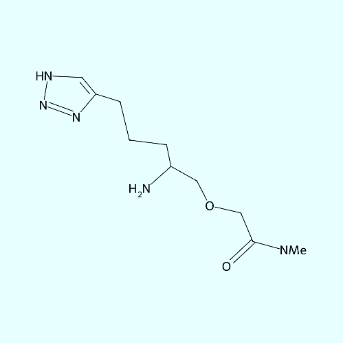 CNC(=O)COCC(N)CCCc1c[nH]nn1